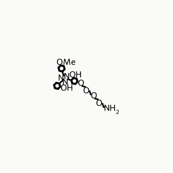 COc1ccc(-c2nc(-c3ccccc3O)nc(-c3ccc(OCCOCCOCCOCCN)cc3O)n2)cc1